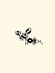 CS(=O)(=O)c1ccc(Nc2nc(N3CCOCC3)nc3c2ncn3-c2cscn2)cc1